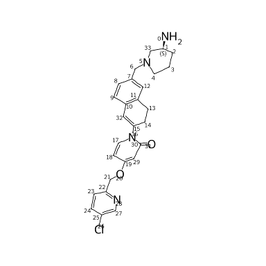 N[C@H]1CCCN(Cc2ccc3c(c2)CCC(n2ccc(OCc4ccc(Cl)cn4)cc2=O)=C3)C1